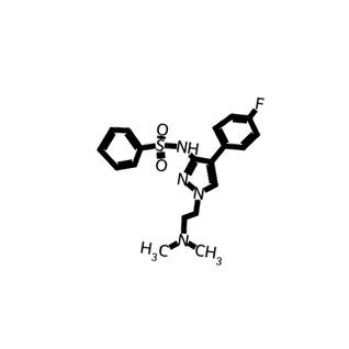 CN(C)CCn1cc(-c2ccc(F)cc2)c(NS(=O)(=O)c2ccccc2)n1